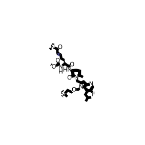 COC(=O)N[C@@H](CC/C=C/C(=O)N(C)C)C(=O)Nc1ccc(C)n(Cc2cc3ncc(F)c(CC(C)C)c3n2COCC[Si](C)(C)C)c1=O